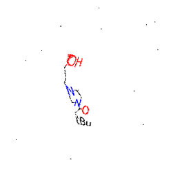 CC(C)(C)CC(=O)N1CCN(CCCO)CC1